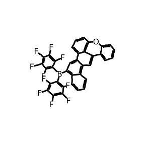 Fc1c(F)c(F)c(B(c2c(F)c(F)c(F)c(F)c2F)c2cc3c4cccc5c4c(cc3c3ccccc23)-c2ccccc2O5)c(F)c1F